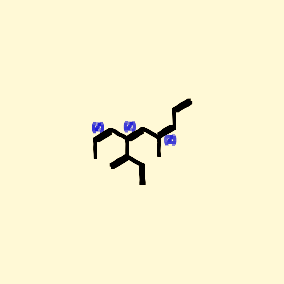 C=C\C=C(C)/C=C(/C=C\C)C(=C)C=C